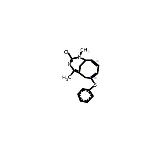 CC1=C2C/C(Sc3ccccc3)=C\C=C/C(C2)N(C)C(Cl)=N1